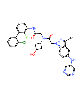 CC(=O)c1nn(CC(=O)N(CC(=O)Nc2cccc(-c3ccccc3Cl)c2F)[C@H]2C[C@H](O)C2)c2ccc(Nc3cncnc3)cc12